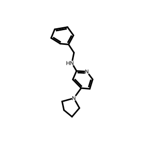 c1ccc(CNc2cc(N3CCCC3)ccn2)cc1